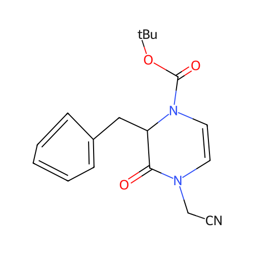 CC(C)(C)OC(=O)N1C=CN(CC#N)C(=O)C1Cc1ccccc1